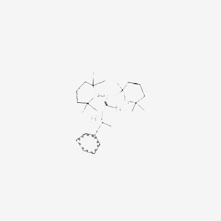 CC(N/C(=N\N1C(C)(C)CCCC1(C)C)NN1C(C)(C)CCCC1(C)C)c1ccccc1